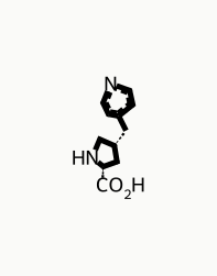 O=C(O)[C@H]1C[C@@H](Cc2ccncc2)CN1